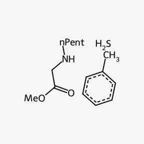 CCCCCNCC(=O)OC.Cc1ccccc1.S